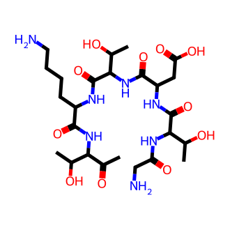 CC(=O)C(NC(=O)C(CCCCN)NC(=O)C(NC(=O)C(CC(=O)O)NC(=O)C(NC(=O)CN)C(C)O)C(C)O)C(C)O